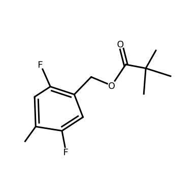 Cc1cc(F)c(COC(=O)C(C)(C)C)cc1F